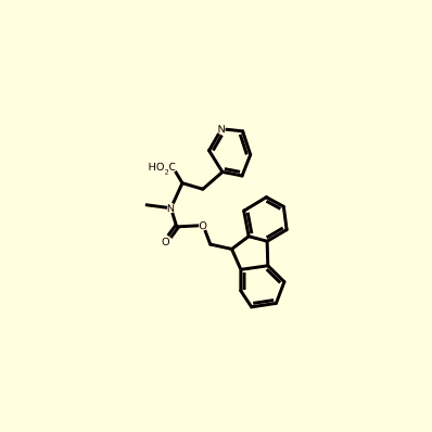 CN(C(=O)OCC1c2ccccc2-c2ccccc21)C(Cc1cccnc1)C(=O)O